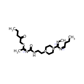 CCC/C=N\C(=N/C)N1CCN(CCNC(=O)/N=C(/C)SCC(=O)CCC)CC1